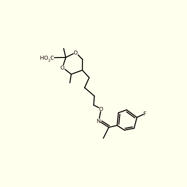 CC(=NOCCCCC1COC(C)(C(=O)O)OC1C)c1ccc(F)cc1